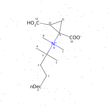 CCCCCCCCCCCCC(C)(C)[N+](C)(C)C1(C(=O)[O-])CC1C(=O)O